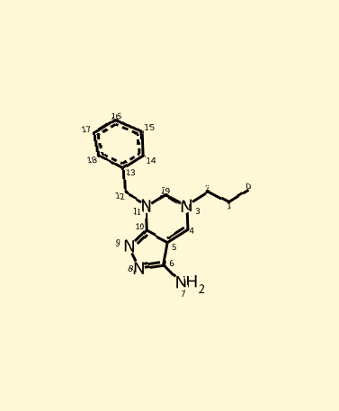 CCCN1C=C2C(N)=NN=C2N(Cc2ccccc2)C1